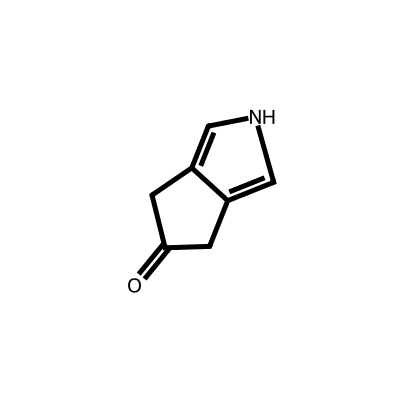 O=C1Cc2c[nH]cc2C1